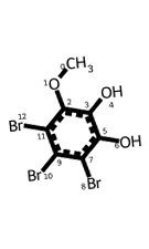 COc1c(O)c(O)c(Br)c(Br)c1Br